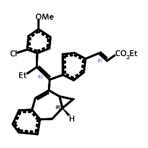 CCOC(=O)/C=C/c1ccc(/C(C2=Cc3ccccc3C[C@H]3CC23)=C(/CC)c2ccc(OC)cc2Cl)cc1